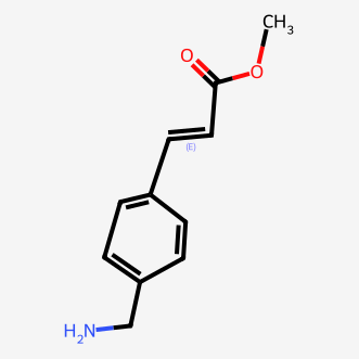 COC(=O)/C=C/c1ccc(CN)cc1